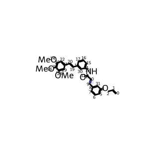 C=CCOc1cccc(/C=C/C(=O)Nc2cccc(C=Cc3cc(OC)c(OC)c(OC)c3)c2)c1